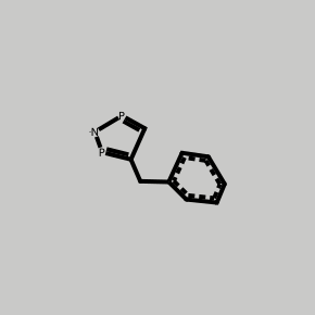 C1=P[N]P=C1Cc1ccccc1